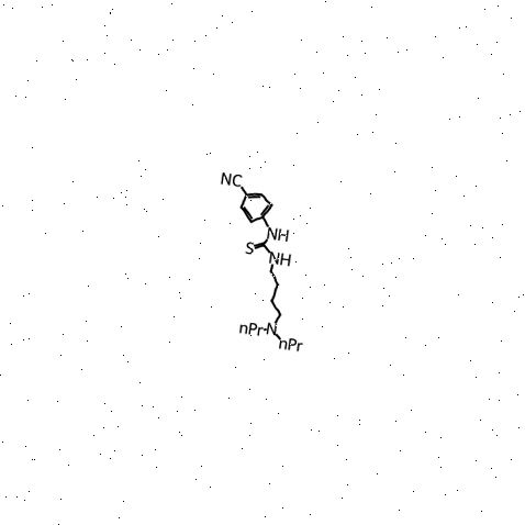 CCCN(CCC)CCCCNC(=S)Nc1ccc(C#N)cc1